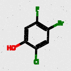 Oc1cc(F)c(Br)cc1Cl